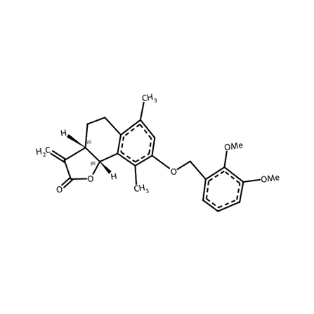 C=C1C(=O)O[C@H]2c3c(C)c(OCc4cccc(OC)c4OC)cc(C)c3CC[C@@H]12